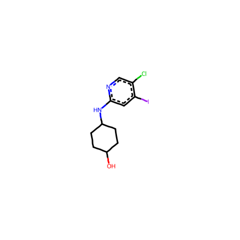 OC1CCC(Nc2cc(I)c(Cl)cn2)CC1